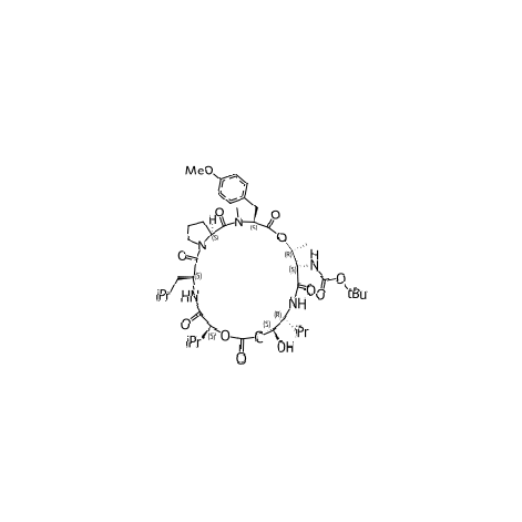 COc1ccc(C[C@H]2C(=O)O[C@H](C)[C@H](NC(=O)OC(C)(C)C)C(=O)N[C@H](C(C)C)[C@@H](O)CC(=O)O[C@@H](C(C)C)C(=O)N[C@@H](CC(C)C)C(=O)N3CCC[C@H]3C(=O)N2C)cc1